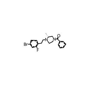 C[C@@H]1CN(C(=O)c2ccccc2)CCN1CCc1ccc(Br)cc1F